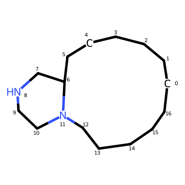 C1CCCCCC2CNCCN2CCCCC1